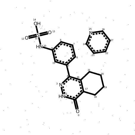 O=c1[nH]nc(-c2cccc(NS(=O)(=O)O)c2)c2c1CCCC2.c1ccncc1